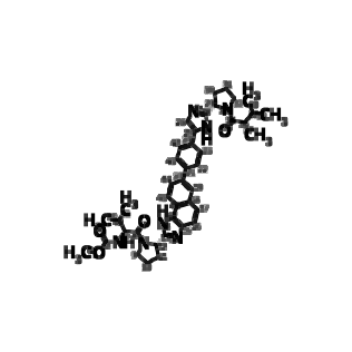 COC(=O)N[C@H](C(=O)N1CCC[C@H]1c1nc2ccc3cc(-c4ccc(-c5cnc([C@@H]6CCCN6C(=O)[C@@H](C)C(C)C)[nH]5)cc4)ccc3c2[nH]1)C(C)C